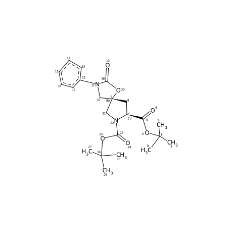 CC(C)(C)OC(=O)[C@@H]1C[C@]2(CN(c3ccccc3)C(=O)O2)CN1C(=O)OC(C)(C)C